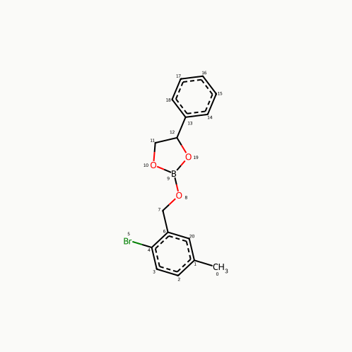 Cc1ccc(Br)c(COB2OCC(c3ccccc3)O2)c1